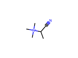 CC(C#N)[N+](C)(C)C